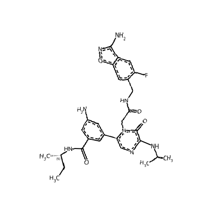 CC[C@H](C)NC(=O)c1cc(N)cc(-c2cnc(NC(C)C)c(=O)n2CC(=O)NCc2cc3onc(N)c3cc2F)c1